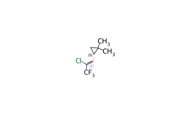 CC1(C)C[C@H]1/C=C(\Cl)C(F)(F)F